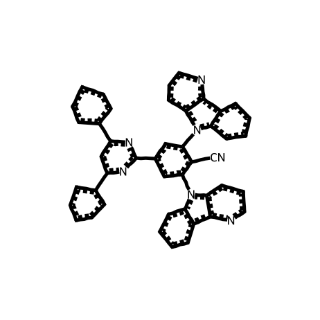 N#Cc1c(-n2c3ccccc3c3ncccc32)cc(-c2nc(-c3ccccc3)cc(-c3ccccc3)n2)cc1-n1c2ccccc2c2ncccc21